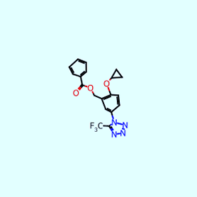 O=C(OCc1cc(-n2nnnc2C(F)(F)F)ccc1OC1CC1)c1ccccc1